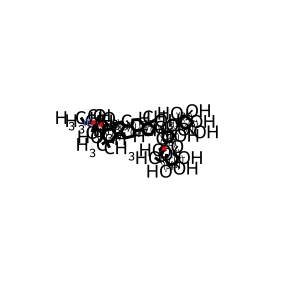 C/C=C(\C)C(=O)O[C@H]1[C@H](O)C(C)(C)C[C@H]2C3=CC[C@@H]4[C@@]5(C)CC[C@H](O[C@@H]6O[C@H](C(=O)O)[C@@H](O[C@@H]7O[C@H](CO)[C@@H](O)[C@H](O)[C@H]7O)[C@H](O)[C@H]6O[C@@H]6O[C@H](CO)[C@@H](O)[C@H](O)[C@H]6O)[C@](C)(CO)[C@@H]5CC[C@@]4(C)[C@]3(C)C[C@@H](O)[C@]21COC(C)=O